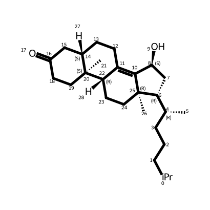 CC(C)CCC[C@@H](C)[C@H]1C[C@H](O)C2=C3CC[C@H]4CC(=O)CC[C@]4(C)[C@H]3CC[C@@]21C